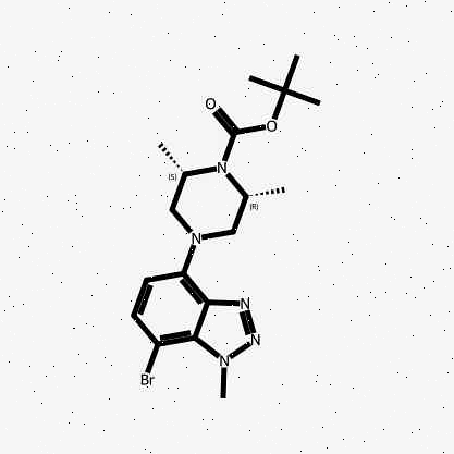 C[C@@H]1CN(c2ccc(Br)c3c2nnn3C)C[C@H](C)N1C(=O)OC(C)(C)C